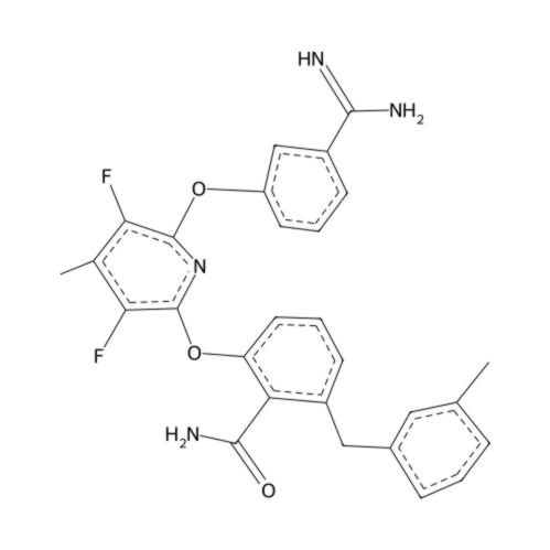 Cc1cccc(Cc2cccc(Oc3nc(Oc4cccc(C(=N)N)c4)c(F)c(C)c3F)c2C(N)=O)c1